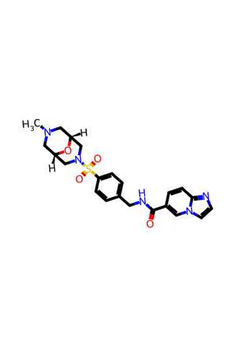 CN1C[C@@H]2CN(S(=O)(=O)c3ccc(CNC(=O)c4ccc5nccn5c4)cc3)C[C@H](C1)O2